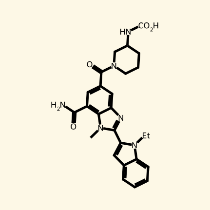 CCn1c(-c2nc3cc(C(=O)N4CCCC(NC(=O)O)C4)cc(C(N)=O)c3n2C)cc2ccccc21